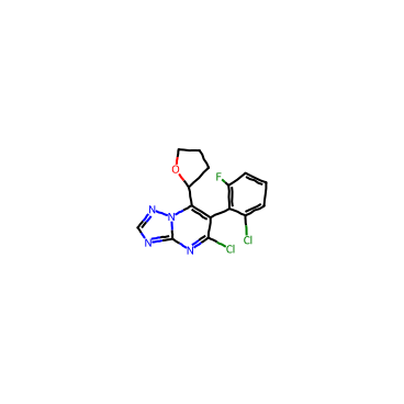 Fc1cccc(Cl)c1-c1c(Cl)nc2ncnn2c1C1CCCO1